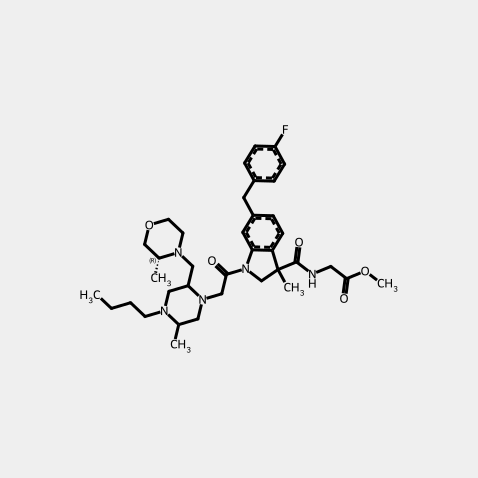 CCCCN1CC(CN2CCOC[C@H]2C)N(CC(=O)N2CC(C)(C(=O)NCC(=O)OC)c3ccc(Cc4ccc(F)cc4)cc32)CC1C